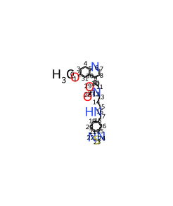 COc1ccc2nccc([C@@H]3CN(CCCNCc4ccc5nsnc5c4)C(=O)O3)c2c1